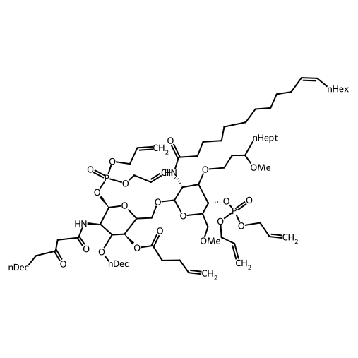 C=CCCC(=O)O[C@@H]1C(COC2OC(COC)[C@@H](OP(=O)(OCC=C)OCC=C)C(OCCC(CCCCCCC)OC)[C@H]2NC(=O)CCCCCCCCC/C=C\CCCCCC)O[C@H](OP(=O)(OCC=C)OCC=C)[C@H](NC(=O)CC(=O)CCCCCCCCCCC)C1OCCCCCCCCCC